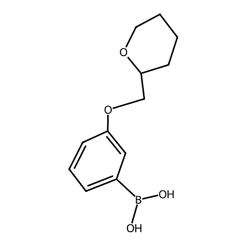 OB(O)c1cccc(OCC2CCCCO2)c1